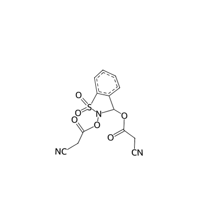 N#CCC(=O)OC1c2ccccc2S(=O)(=O)N1OC(=O)CC#N